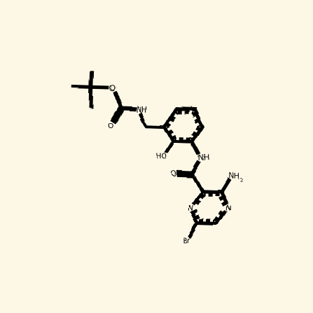 CC(C)(C)OC(=O)NCc1cccc(NC(=O)c2nc(Br)cnc2N)c1O